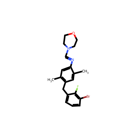 Cc1cc(/N=C/N2CCOCC2)c(C)cc1Cc1cccc(Br)c1F